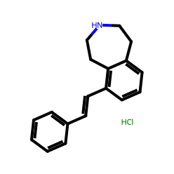 C(=Cc1cccc2c1CCNCC2)c1ccccc1.Cl